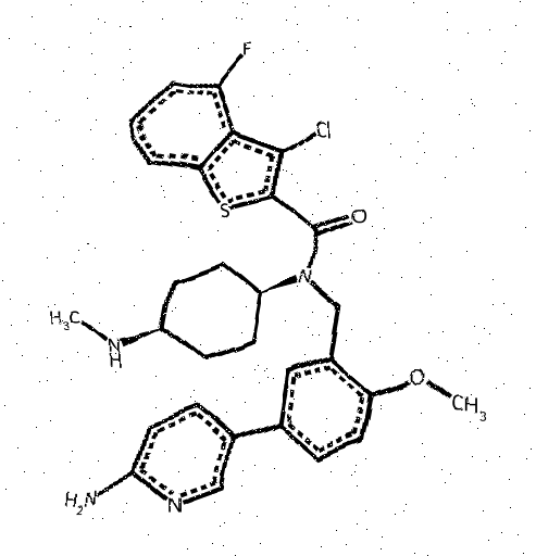 CN[C@H]1CC[C@@H](N(Cc2cc(-c3ccc(N)nc3)ccc2OC)C(=O)c2sc3cccc(F)c3c2Cl)CC1